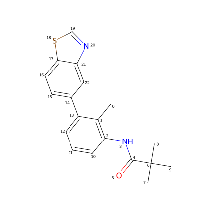 Cc1c(NC(=O)C(C)(C)C)cccc1-c1ccc2scnc2c1